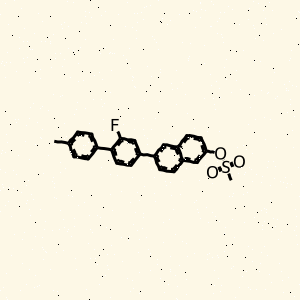 Cc1ccc(-c2ccc(-c3ccc4cc(OS(C)(=O)=O)ccc4c3)cc2F)cc1